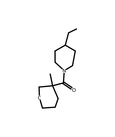 CCC1CCN(C(=O)C2(C)CCCCC2)CC1